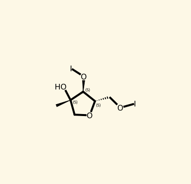 C[C@]1(O)CO[C@@H](COI)[C@@H]1OI